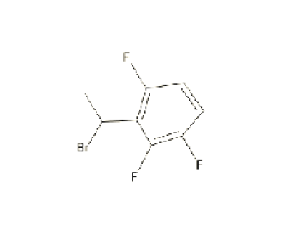 CC(Br)c1c(F)ccc(F)c1F